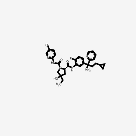 CCC1(O)C[C@H](C(=O)Nc2cc(C(N)(CCC3CC3)c3ccccn3)ccc2F)N(C(=O)Nc2ccc(Cl)cn2)C1